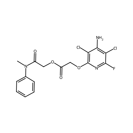 CN(C(=O)COC(=O)COc1nc(F)c(Cl)c(N)c1Cl)c1ccccc1